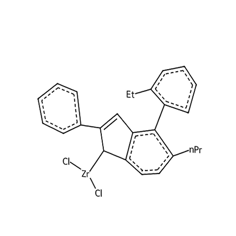 CCCc1ccc2c(c1-c1ccccc1CC)C=C(c1ccccc1)[CH]2[Zr]([Cl])[Cl]